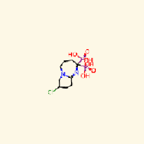 O=P(O)(O)C1(P(=O)(O)O)CCCN2CC(Cl)CCC2=N1